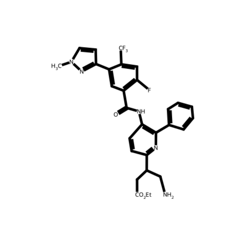 CCOC(=O)CC(CN)c1ccc(NC(=O)c2cc(-c3ccn(C)n3)c(C(F)(F)F)cc2F)c(-c2ccccc2)n1